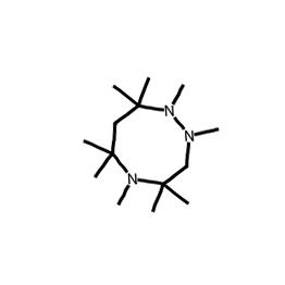 CN1CC(C)(C)N(C)C(C)(C)CC(C)(C)N1C